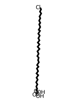 O=P(O)(O)OCCCCCCCCCCCCCCCCCCCCCCCCCCCCCCCCCCCCCCl